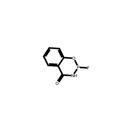 O=C1NP(F)Oc2ccccc21